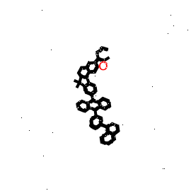 C/C=C\c1c(C)oc2cc3c4c(ccc3cc12)C(C)(C)c1cc(-c2c3ccccc3c(-c3cccc(-c5cccc6ccccc56)c3)c3ccccc23)ccc1-4